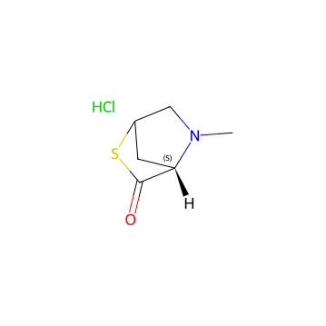 CN1CC2C[C@H]1C(=O)S2.Cl